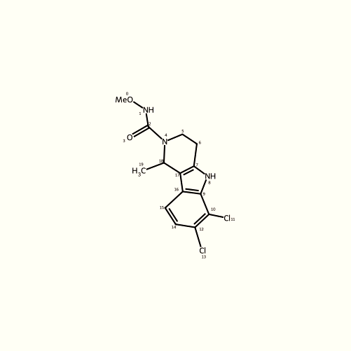 CONC(=O)N1CCc2[nH]c3c(Cl)c(Cl)ccc3c2C1C